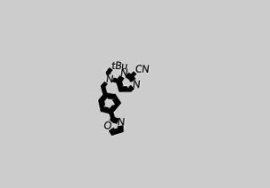 CC(C)(C)CN(Cc1ccc(-c2ncco2)cc1)c1ccnc(C#N)n1